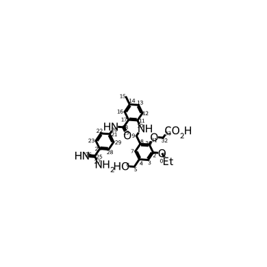 CCOc1cc(CO)cc(CNc2ccc(C)cc2C(=O)Nc2ccc(C(=N)N)cc2)c1OCC(=O)O